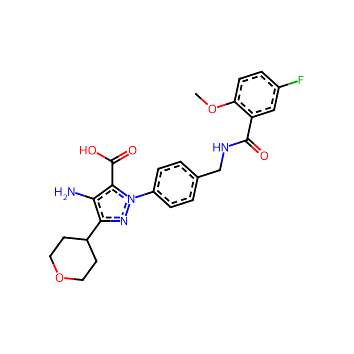 COc1ccc(F)cc1C(=O)NCc1ccc(-n2nc(C3CCOCC3)c(N)c2C(=O)O)cc1